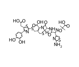 CC(C)(ON=C(C(=O)N[C@@H]1C(=O)N2C(C(=O)O)=C(CSc3nc(-c4ccc(O)c(O)c4)c(CC(=O)O)s3)CS[C@@H]12)c1csc(N)n1)C(=O)O